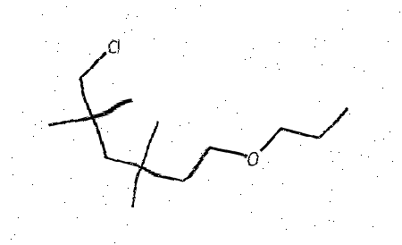 CCCOCCC(C)(C)CC(C)(C)CCl